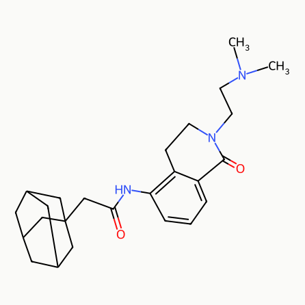 CN(C)CCN1CCc2c(NC(=O)CC34CC5CC(CC(C5)C3)C4)cccc2C1=O